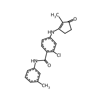 CC1=C(Nc2ccc(C(=O)Nc3cccc(C)c3)c(Cl)c2)CCC1=O